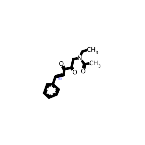 CCN(CC(=O)C(=O)/C=C/c1ccccc1)C(C)=O